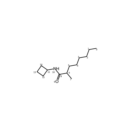 CCCCCCC(C)C(=O)NC1CCC1